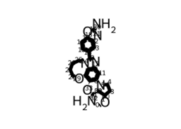 CO[C@@H]1CCN(c2cc3c4c(c2)nc(-c2ccc5oc(N)nc5c2)n4CCCCO3)[C@@H]1C(N)=O